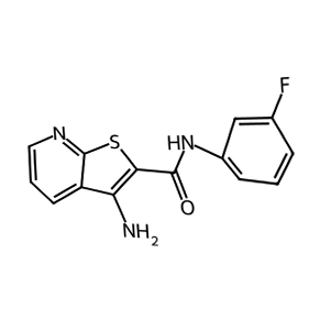 Nc1c(C(=O)Nc2cccc(F)c2)sc2ncccc12